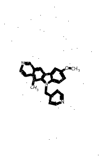 COc1ccc2c(c1)c1cc3cnccc3c(C)c1n2Cc1ccncc1